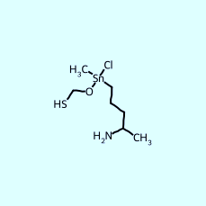 CC(N)CC[CH2][Sn]([CH3])([Cl])[O]CS